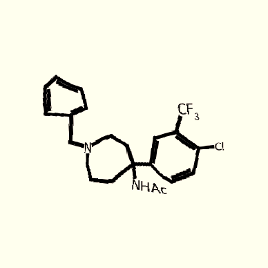 CC(=O)NC1(c2ccc(Cl)c(C(F)(F)F)c2)CCN(Cc2ccccc2)CC1